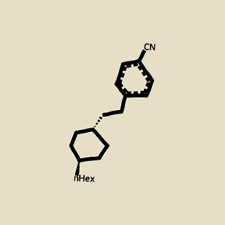 CCCCCC[C@H]1CC[C@H](CCc2ccc(C#N)cc2)CC1